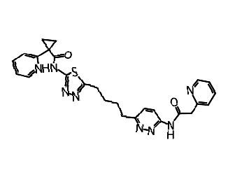 O=C(Cc1ccccn1)Nc1ccc(CCCCc2nnc(NC(=O)C3(c4ccccn4)CC3)s2)nn1